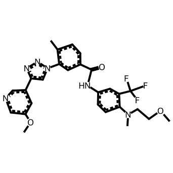 COCCN(C)c1ccc(NC(=O)c2ccc(C)c(-n3cc(-c4cncc(OC)c4)nn3)c2)cc1C(F)(F)F